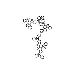 CC1(C)c2ccccc2-c2c1c1c(c3c2oc2ccccc23)-c2ccc(N(c3ccc4c(c3)C(C)(C)c3c5c(c6oc7cc(-c8ccc(N(c9ccccc9)c9ccc%10c(c9)C(C)(C)c9c%11c(c%12sc%13ccccc%13c%12c9-%10)-c9ccc(N(c%10ccccc%10)c%10ccccc%10)cc9C%11(C)C)cc8)ccc7c6c3-4)-c3ccccc3C5(C)C)c3cccc4oc5ccccc5c34)cc2C1(C)C